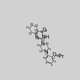 CC(C)Oc1ccccc1N1CCN(c2nc3c(c(=O)[nH]2)CCCC3)CC1